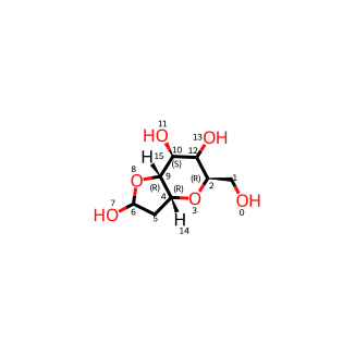 OC[C@H]1O[C@@H]2CC(O)O[C@@H]2[C@@H](O)C1O